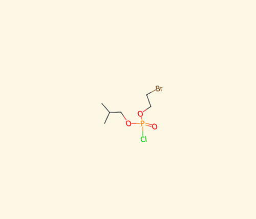 CC(C)COP(=O)(Cl)OCCBr